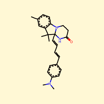 Cc1ccc2c(c1)C(C)(C)C1(C=CC=Cc3ccc(N(C)C)cc3)NC(=O)CCN21